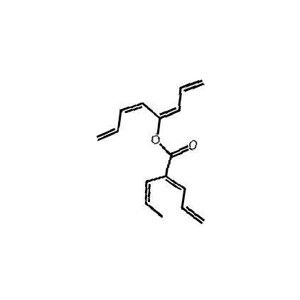 C=C/C=C\C(=C/C=C)OC(=O)C(/C=C\C)=C/C=C